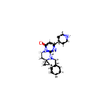 O=c1cc(-c2ccncc2)nc2n1CCC1(CC1)N2Cc1ccccc1